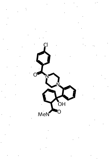 CNC(=O)C1C=CC=CC1(O)c1ccccc1N1CCN(C(=O)c2ccc(Cl)cc2)CC1